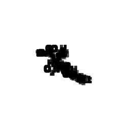 CCC1(C)CCN(c2ccc(C(=O)NS(=O)(=O)c3ccc(N[C@H](CCCCN(C(=O)O)C(C)(C)C)CSc4ccccc4)c([N+](=O)[O-])c3)cc2)CC1